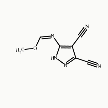 CO/C=N\c1[nH]nc(C#N)c1C#N